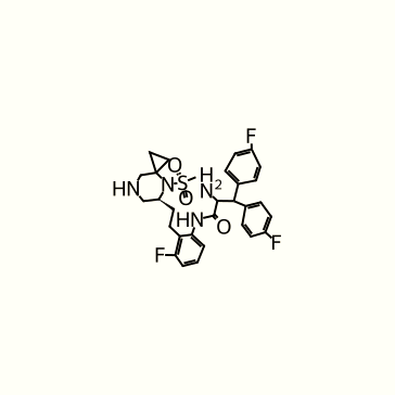 CS(=O)(=O)N1[C@@H](CCc2c(F)cccc2NC(=O)C(N)C(c2ccc(F)cc2)c2ccc(F)cc2)CNCC12CC2